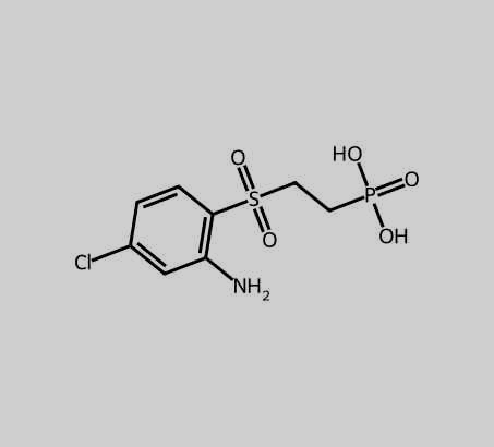 Nc1cc(Cl)ccc1S(=O)(=O)CCP(=O)(O)O